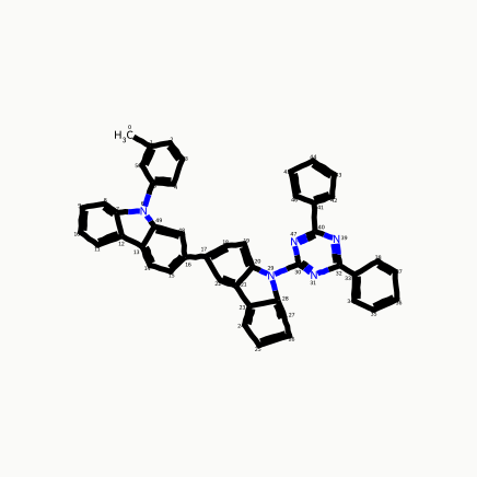 Cc1cccc(-n2c3ccccc3c3ccc(-c4ccc5c(c4)c4ccccc4n5-c4nc(-c5ccccc5)nc(-c5ccccc5)n4)cc32)c1